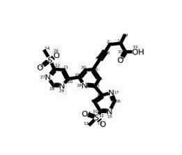 CC(CC#Cc1cc(-c2cc(S(C)(=O)=O)ncn2)nc(-c2cc(S(C)(=O)=O)ncn2)c1)C(=O)O